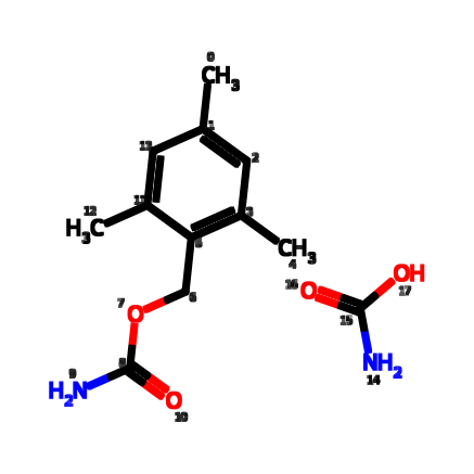 Cc1cc(C)c(COC(N)=O)c(C)c1.NC(=O)O